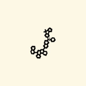 CC1(C)c2ccccc2-c2cc(N(C3=CC=CCC3)c3ccc4cc(-c5cc6cc(C7=CCCc8ccccc87)c7ccccc7c6c6c5CCC=C6)ccc4c3)ccc21